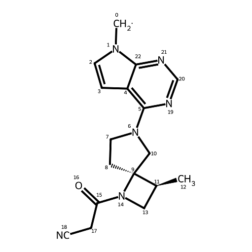 [CH2]n1ccc2c(N3CC[C@]4(C3)[C@@H](C)CN4C(=O)CC#N)ncnc21